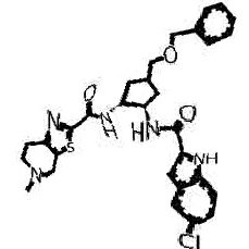 CN1CCc2nc(C(=O)N[C@@H]3CC(COCc4ccccc4)C[C@H]3NC(=O)c3cc4cc(Cl)ccc4[nH]3)sc2C1